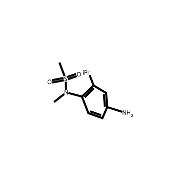 CC(C)c1cc(N)ccc1N(C)S(C)(=O)=O